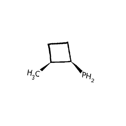 C[C@H]1CC[C@H]1P